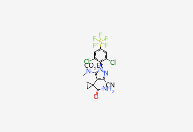 CCOC(=O)N(C)c1c(C2(C(N)=O)CC2)c(C#N)nn1-c1c(Cl)cc(S(F)(F)(F)(F)F)cc1Cl